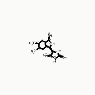 CC1CC2=C(CC1C)C(=C1SC(=S)NC1=N)NC2=N